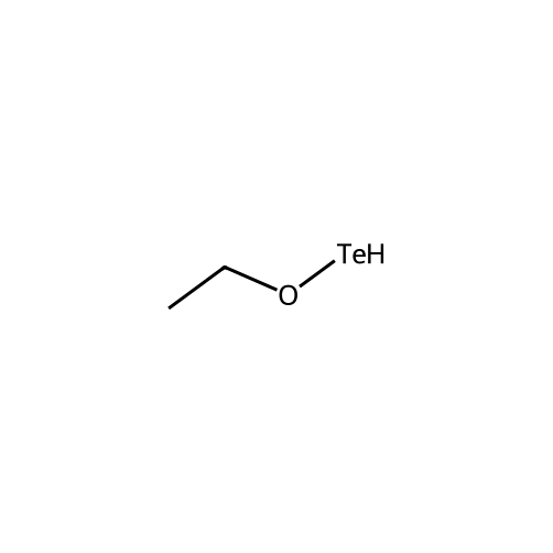 CCO[TeH]